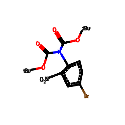 CC(C)(C)OC(=O)N(C(=O)OC(C)(C)C)c1ccc(Br)cc1[N+](=O)[O-]